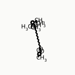 Cc1ccc(S(=O)(=O)OCCCCCCCCCCCCCCC(=O)Nc2c(C(C)C)cccc2C(C)C)cc1